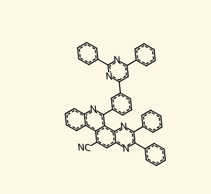 N#Cc1cc2nc(-c3ccccc3)c(-c3ccccc3)nc2c2c(-c3cccc(-c4cc(-c5ccccc5)nc(-c5ccccc5)n4)c3)nc3ccccc3c12